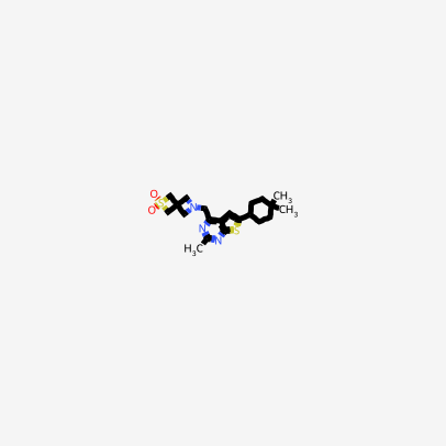 Cc1nc(CN2CC3(C2)CS(=O)(=O)C3)c2cc(C3CCC(C)(C)CC3)sc2n1